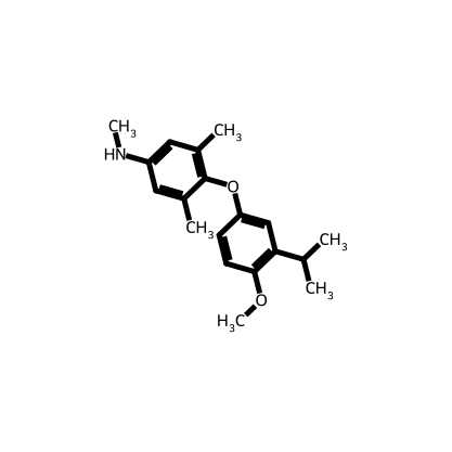 CNc1cc(C)c(Oc2ccc(OC)c(C(C)C)c2)c(C)c1